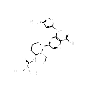 Cc1cc(Nc2nc(N3CCC[C@H](NC(=O)N(C)C)[C@@H]3CO)cnc2C(N)=O)sn1